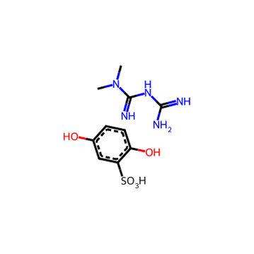 CN(C)C(=N)NC(=N)N.O=S(=O)(O)c1cc(O)ccc1O